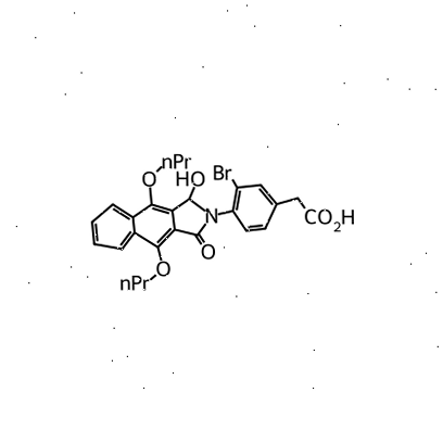 CCCOc1c2c(c(OCCC)c3ccccc13)C(O)N(c1ccc(CC(=O)O)cc1Br)C2=O